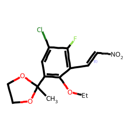 CCOc1c(C2(C)OCCO2)cc(Cl)c(F)c1/C=C/[N+](=O)[O-]